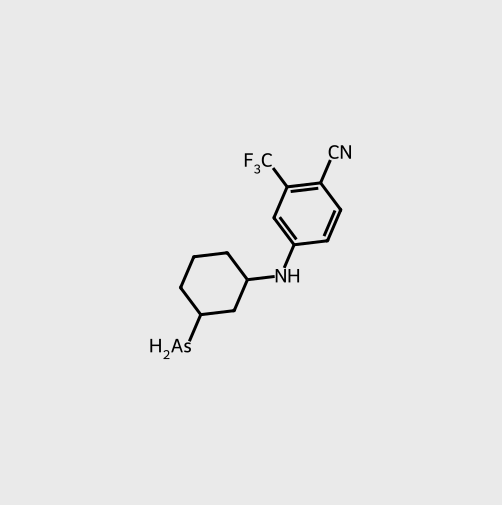 N#Cc1ccc(NC2CCCC([AsH2])C2)cc1C(F)(F)F